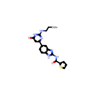 COCCNc1nc(-c2ccc3[nH]c(NC(=O)c4cccs4)nc3c2)cc(=O)[nH]1